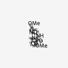 COCCn1cnc2cc(Nc3c(N[C@H](C)c4cccc(OC)c4)c(=O)c3=O)ccc21